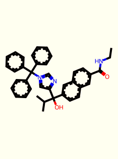 CCNC(=O)c1ccc2cc(C(O)(c3cn(C(c4ccccc4)(c4ccccc4)c4ccccc4)cn3)C(C)C)ccc2c1